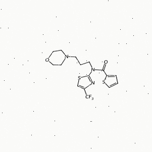 O=C(c1cccs1)N(CCCN1CCOCC1)c1nc(C(F)(F)F)cs1